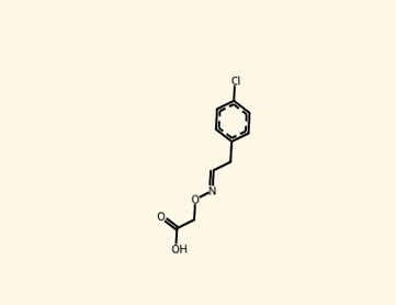 O=C(O)CON=CCc1ccc(Cl)cc1